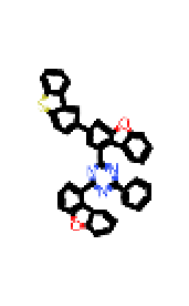 C1=CC2Oc3cccc(-c4nc(-c5ccccc5)nc(-c5cc(-c6ccc7sc8ccccc8c7c6)cc6oc7ccccc7c56)n4)c3C2C=C1